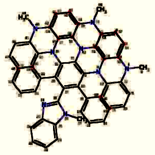 CN1c2ccccc2N(c2c(-c3ccccc3)c(-c3nc4ccccc4n3C)c(-c3ccccc3)c(N3c4ccccc4N(C)c4ccccc43)c2N2c3ccccc3N(C)c3ccccc32)c2ccccc21